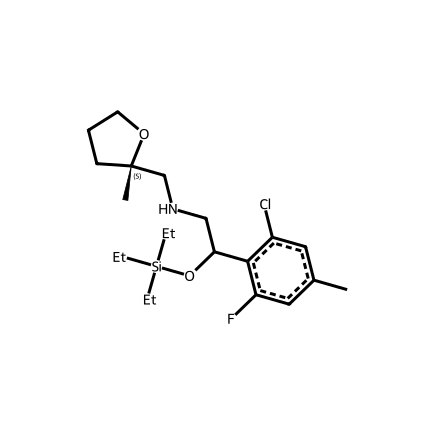 CC[Si](CC)(CC)OC(CNC[C@]1(C)CCCO1)c1c(F)cc(C)cc1Cl